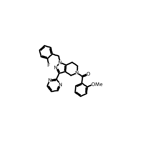 COc1ccccc1C(=O)N1CCc2c(c(-c3ncccn3)nn2Cc2ccccc2F)C1